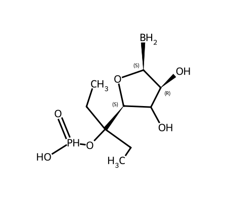 B[C@@H]1O[C@H](C(CC)(CC)O[PH](=O)O)C(O)[C@@H]1O